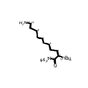 CCCCC(CCCCCCCCCN)C(N)=O